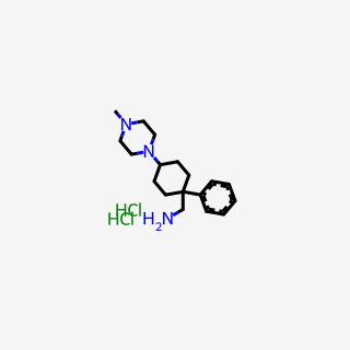 CN1CCN(C2CCC(CN)(c3ccccc3)CC2)CC1.Cl.Cl